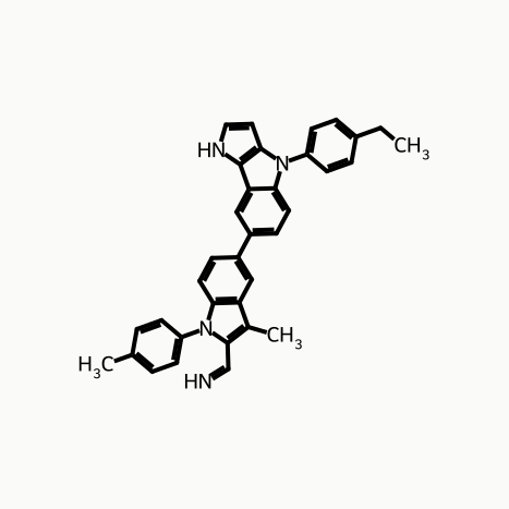 CCc1ccc(-n2c3ccc(-c4ccc5c(c4)c(C)c(C=N)n5-c4ccc(C)cc4)cc3c3[nH]ccc32)cc1